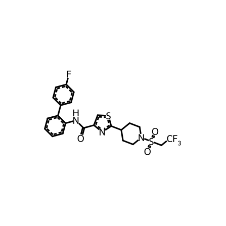 O=C(Nc1ccccc1-c1ccc(F)cc1)c1csc(C2CCN(S(=O)(=O)CC(F)(F)F)CC2)n1